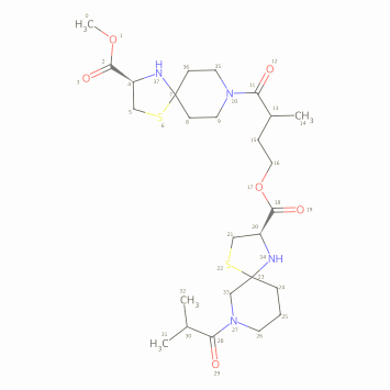 COC(=O)[C@@H]1CSC2(CCN(C(=O)C(C)CCOC(=O)[C@@H]3CSC4(CCCN(C(=O)C(C)C)C4)N3)CC2)N1